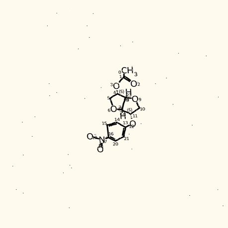 CC(=O)O[C@H]1CO[C@H]2[C@@H]1OC[C@@H]2Oc1ccc([N+](=O)[O-])cc1